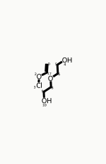 C=COCl.OCCOCCO